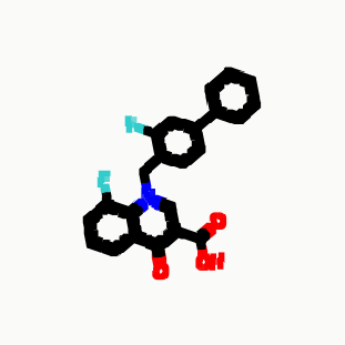 O=C(O)c1cn(Cc2ccc(-c3ccccc3)cc2F)c2c(F)cccc2c1=O